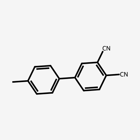 Cc1ccc(-c2ccc(C#N)c(C#N)c2)cc1